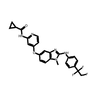 Cn1c(Nc2ccc(C(F)(F)CF)cc2)nc2cc(Oc3ccnc(NC(=O)C4CC4)c3)ccc21